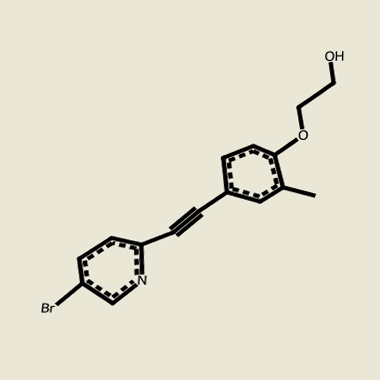 Cc1cc(C#Cc2ccc(Br)cn2)ccc1OCCO